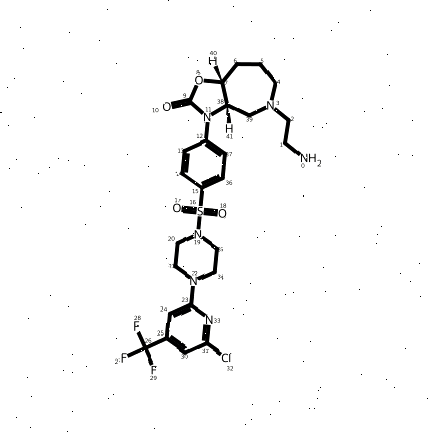 NCCN1CCC[C@H]2OC(=O)N(c3ccc(S(=O)(=O)N4CCN(c5cc(C(F)(F)F)cc(Cl)n5)CC4)cc3)[C@H]2C1